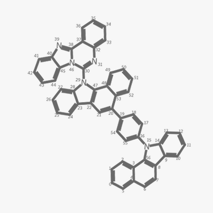 c1ccc2c(c1)ccc1c3ccccc3n(-c3ccc(-c4cc5c6ccccc6n(-c6nc7ccccc7c7nc8ccccc8n67)c5c5ccccc45)cc3)c21